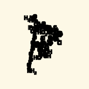 CC(C)[C@H](NC(=O)CCOCCOCCOCCOCCOCCOCCN)C(=O)N[C@@H](CCCNC(N)=O)C(=O)Nc1ccc(CC(C(c2cc3c(c4ccccc24)[C@H](CCl)CN3C(=O)c2ccc(C(=O)N3C[C@@H](CCl)c4c3cc(O[C@@H]3O[C@H](CO)[C@H](O)[C@H](O)[C@H]3O)c3ccccc43)s2)N(C)C(=O)O)N(C)C(=O)O)cc1